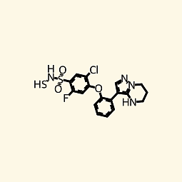 O=S(=O)(NS)c1cc(Cl)c(Oc2ccccc2-c2cnn3c2NCCC3)cc1F